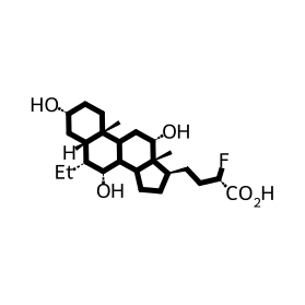 CC[C@H]1[C@@H](O)C2C3CC[C@H](CC[C@H](F)C(=O)O)[C@@]3(C)[C@@H](O)CC2[C@@]2(C)CC[C@@H](O)C[C@@H]12